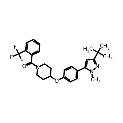 Cn1nc(C(C)(C)C)cc1-c1c[c]c(OC2CCN(C(=O)c3ccccc3C(F)(F)F)CC2)cc1